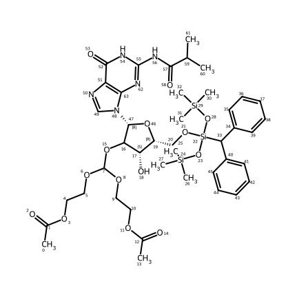 CC(=O)OCCOC(OCCOC(C)=O)OC1[C@@H](O)[C@@H](CO[Si](O[Si](C)(C)C)(O[Si](C)(C)C)C(c2ccccc2)c2ccccc2)O[C@H]1n1cnc2c(=O)[nH]c(NC(=O)C(C)C)nc21